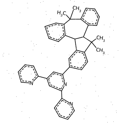 CC1(C)c2ccccc2C2c3cc(-c4cc(-c5ccccn5)cc(-c5ccccn5)n4)ccc3C(C)(C)C2c2ccccc21